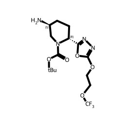 CC(C)(C)OC(=O)N1C[C@@H](N)CC[C@@H]1c1nnc(OCCOC(F)(F)F)o1